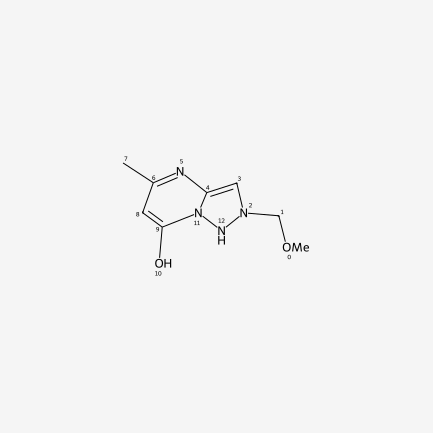 COCN1C=C2N=C(C)C=C(O)N2N1